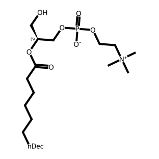 CCCCCCCCCCCCCCCC(=O)O[C@@H](CO)COP(=O)([O-])OCC[N+](C)(C)C